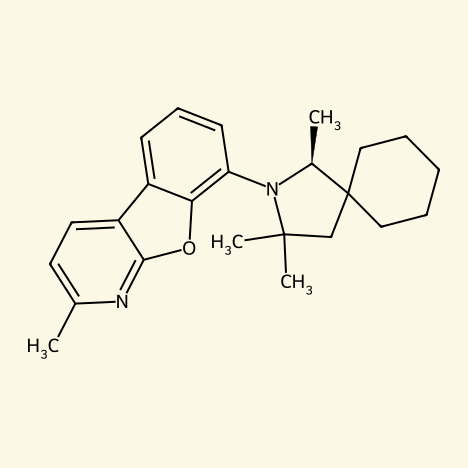 Cc1ccc2c(n1)oc1c(N3[C@@H](C)C4(CCCCC4)CC3(C)C)cccc12